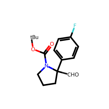 CC(C)(C)OC(=O)N1CCCC1(C=O)c1ccc(F)cc1